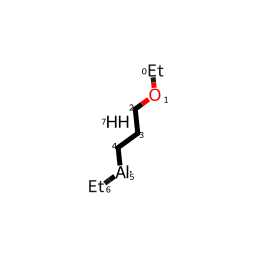 CCOCC[CH2][Al][CH2]C.[HH]